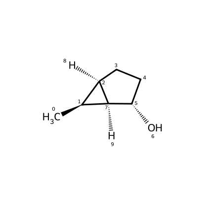 C[C@H]1[C@H]2CC[C@H](O)[C@@H]12